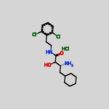 Cl.N[C@H](CC1CCCCC1)C(O)C(=O)NCCc1c(Cl)cccc1Cl